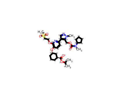 CC(C)OC(=O)[C@H]1CCC[C@H](Oc2ccc(-c3cnn(C)c3COC(=O)N(C)C3CCCC3)nc2OCCS(C)(=O)=O)C1